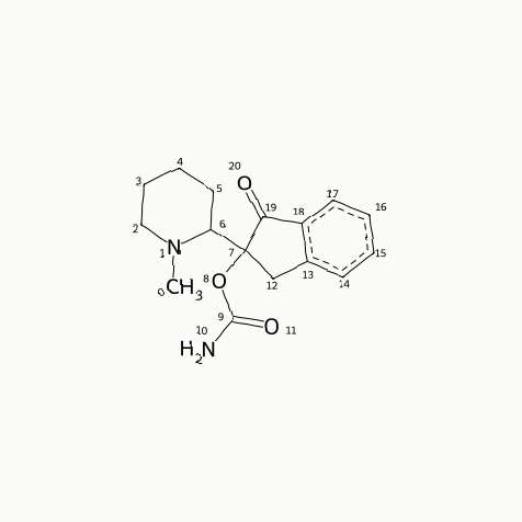 CN1CCCCC1C1(OC(N)=O)Cc2ccccc2C1=O